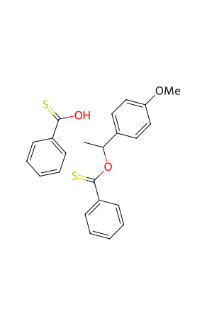 COc1ccc(C(C)OC(=S)c2ccccc2)cc1.OC(=S)c1ccccc1